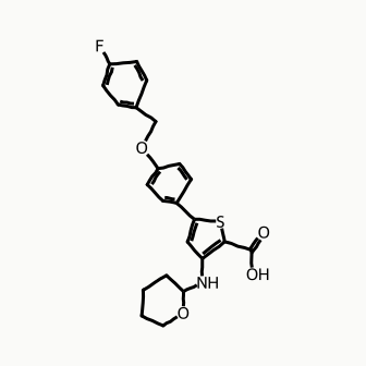 O=C(O)c1sc(-c2ccc(OCc3ccc(F)cc3)cc2)cc1NC1CCCCO1